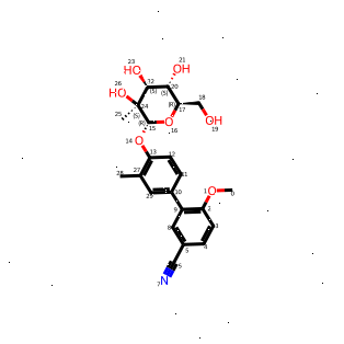 COc1ccc(C#N)cc1-c1ccc(O[C@H]2O[C@H](CO)[C@@H](O)[C@H](O)[C@]2(C)O)c(C)c1